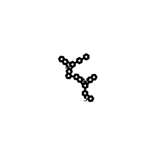 c1ccc(-c2ccc(-c3cc4c5cc6ccccc6cc5n5c6cc7cccc(-c8ccc9cc%10c(cc9c8)c8cc(-c9ccc%11sc%12ccccc%12c%11c9)cc9c%11cc%12ccccc%12cc%11n%10c98)c7cc6c(c3)c45)cc2)cc1